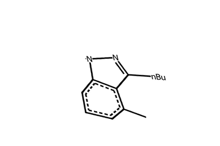 CCCCC1=N[N]c2cccc(C)c21